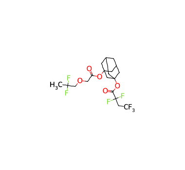 CC(F)(F)COCC(=O)OC12CC3CC(C1)CC(OC(=O)C(F)(F)CC(F)(F)F)(C3)C2